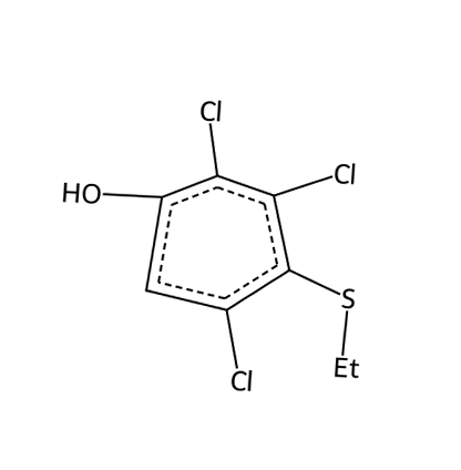 CCSc1c(Cl)cc(O)c(Cl)c1Cl